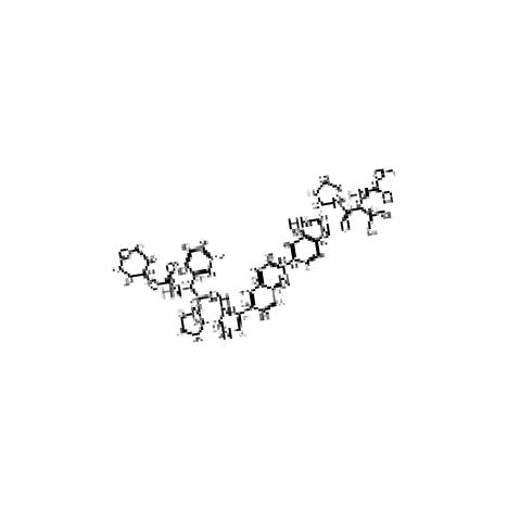 COC(=O)N[C@H](C(=O)N1CCC[C@H]1c1nc2ccc(-c3ccc4cc(-c5cnc([C@@H]6CCCN6C(=O)[C@H](NC(=O)OC6CCOCC6)c6ccccc6)[nH]5)ccc4n3)cc2[nH]1)C(C)C